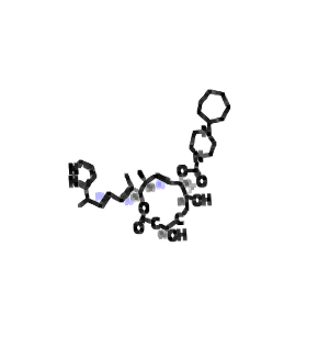 C/C(=C\C=C\C(C)c1cccnn1)[C@H]1OC(=O)C[C@@H](O)CC[C@](C)(O)[C@@H](OC(=O)N2CCN(C3CCCCCC3)CC2)/C=C/[C@@H]1C